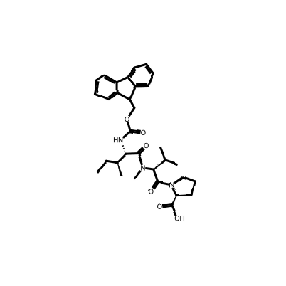 CC[C@H](C)[C@H](NC(=O)OCC1c2ccccc2-c2ccccc21)C(=O)N(C)[C@H](C(=O)N1CCC[C@H]1C(=O)O)C(C)C